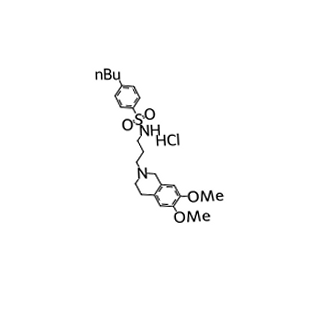 CCCCc1ccc(S(=O)(=O)NCCCN2CCc3cc(OC)c(OC)cc3C2)cc1.Cl